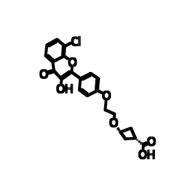 O=c1c(O)c(-c2ccc(OCCO[C@H]3C[C@@H](C(=O)O)C3)cc2)oc2c(Cl)cccc12